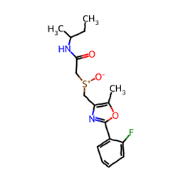 CCC(C)NC(=O)C[S+]([O-])Cc1nc(-c2ccccc2F)oc1C